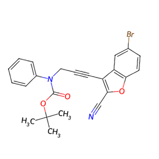 CC(C)(C)OC(=O)N(CC#Cc1c(C#N)oc2ccc(Br)cc12)c1ccccc1